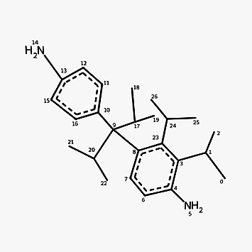 CC(C)c1c(N)ccc(C(c2ccc(N)cc2)(C(C)C)C(C)C)c1C(C)C